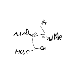 CN[C@@H](C(C)C)[C@H](OC)C(C(=O)O)C(C)(C)C